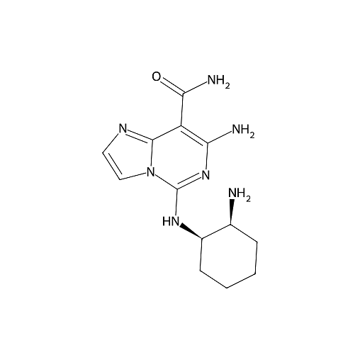 NC(=O)c1c(N)nc(N[C@@H]2CCCC[C@@H]2N)n2ccnc12